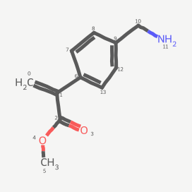 C=C(C(=O)OC)c1ccc(CN)cc1